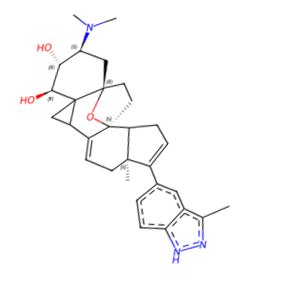 Cc1n[nH]c2ccc(C3=CCC4[C@]3(C)CC=C3C5CC56[C@@H](O)[C@H](O)[C@@H](N(C)C)C[C@]65CC[C@@]34O5)cc12